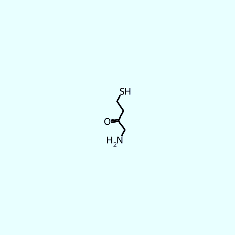 NCC(=O)CCS